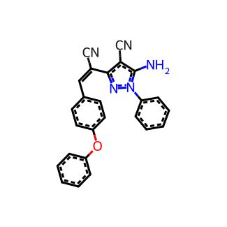 N#CC(=Cc1ccc(Oc2ccccc2)cc1)c1nn(-c2ccccc2)c(N)c1C#N